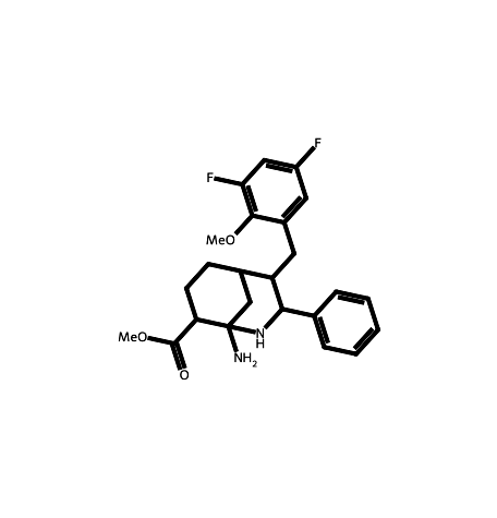 COC(=O)C1CCC2CC1(N)NC(c1ccccc1)C2Cc1cc(F)cc(F)c1OC